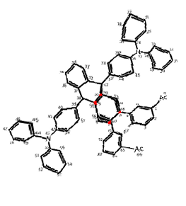 CC(=O)c1cccc(-c2ccc3c(c2)C2(c4ccc(N(c5ccccc5)c5ccccc5)cc4)c4ccccc4C3(c3ccc(N(c4ccccc4)c4ccccc4)cc3)c3cc(-c4cccc(C(C)=O)c4)ccc32)c1